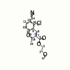 COCCOC(=O)/C(=C/c1cccc(C#N)c1Cl)C(C)=O